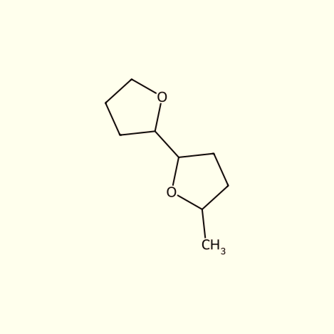 CC1CCC(C2CCCO2)O1